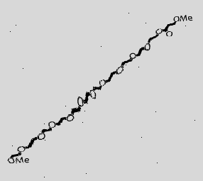 COCCOCCOCCOCCOCCOCCOCCOCCOCCOCCOCCOC(=O)CCOC